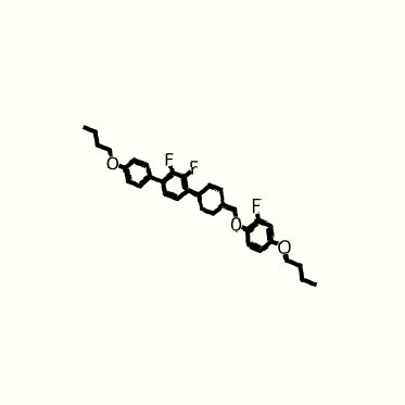 CCCCOc1ccc(-c2ccc(C3CCC(COc4ccc(OCCCC)cc4F)CC3)c(F)c2F)cc1